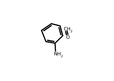 C=O.Nc1ccccc1